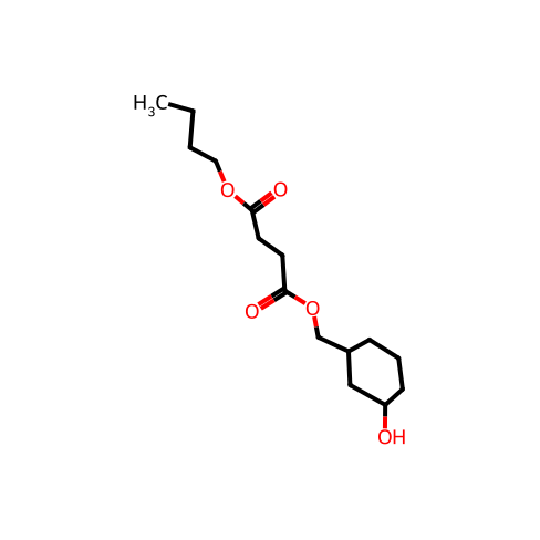 CCCCOC(=O)CCC(=O)OCC1CCCC(O)C1